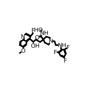 COc1ccc2ncc(CF)c([C@H](O)CCC3(C(=O)NO)CCN(CCNc4c(F)cc(F)cc4F)CC3)c2c1